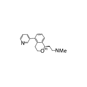 CNCC[C@H]1OCCc2c(-c3cccnc3)cccc21